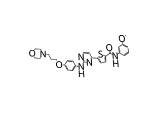 COc1cccc(NC(=O)c2ccc(-c3ccnc(Nc4ccc(OCCCN5CCOCC5)cc4)n3)s2)c1